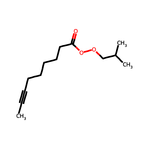 CC#CCCCCCC(=O)OOCC(C)C